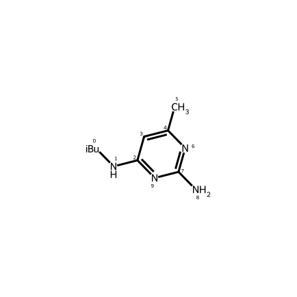 CCC(C)Nc1cc(C)nc(N)n1